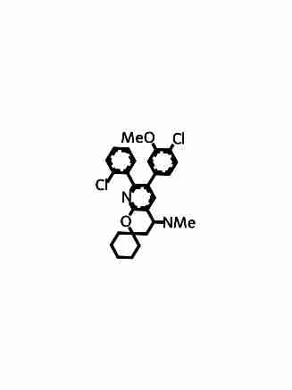 CNC1CC2(CCCCC2)Oc2nc(-c3ccccc3Cl)c(-c3ccc(Cl)c(OC)c3)cc21